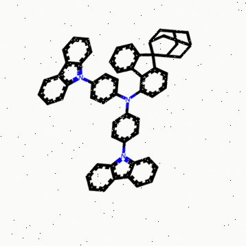 c1ccc2c(c1)-c1c(N(c3ccc(-n4c5ccccc5c5ccccc54)cc3)c3ccc(-n4c5ccccc5c5ccccc54)cc3)cccc1C21C2CC3CC(C2)CC1C3